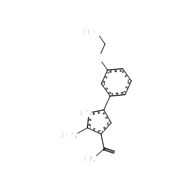 CCSc1cccc(-c2cc(C(N)=O)c(N)[nH]2)c1